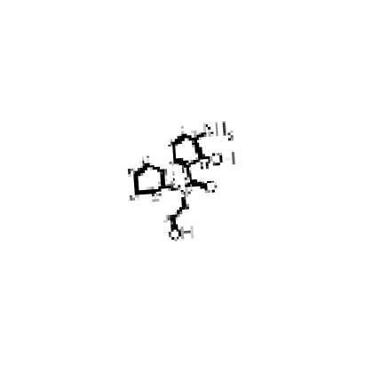 Nc1cccc(C(=O)N(CCO)c2ccccc2)c1O